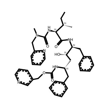 CC[C@H](C)[C@H](NC(=O)N(C)Cc1ccccn1)C(=O)N[C@@H](Cc1ccccc1)[C@@H](O)C[C@H](Cc1ccccc1)NC(=O)OCc1cccnc1